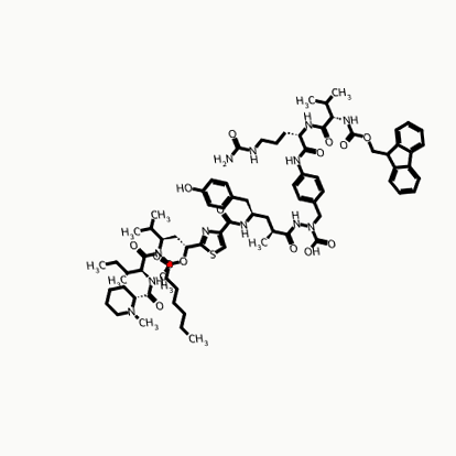 CCCCCCON(C(=O)[C@@H](NC(=O)[C@H]1CCCCN1C)[C@@H](C)CC)[C@H](C[C@@H](OC(C)=O)c1nc(C(=O)N[C@@H](Cc2ccc(O)cc2)C[C@H](C)C(=O)NN(Cc2ccc(NC(=O)[C@H](CCCNC(N)=O)NC(=O)[C@@H](NC(=O)OCC3c4ccccc4-c4ccccc43)C(C)C)cc2)C(=O)O)cs1)C(C)C